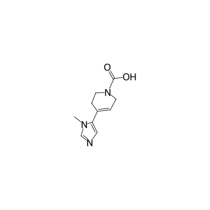 Cn1cncc1C1=CCN(C(=O)O)CC1